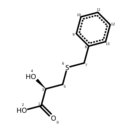 O=C(O)[C@@H](O)CSCc1ccccc1